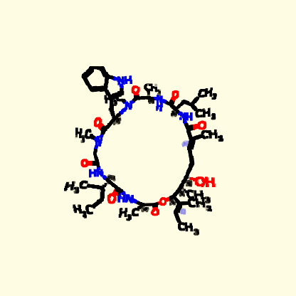 C/C=C(\C)[C@H]1OC(=O)[C@@H](C)NC(=O)[C@H](C(C)CC)NC(=O)CN(C)C(=O)[C@@H](Cc2c[nH]c3ccccc23)N(C)C(=O)[C@H](C)NC(=O)[C@@H](CC(C)C)NC(=O)/C(C)=C/C[C@H](O)[C@@H]1C